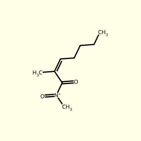 CCCCC=C(C)C(=O)[N+](C)=O